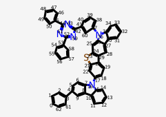 c1ccc(-c2ccc3c(c2)c2ccccc2n3-c2ccc3c(c2)sc2cc4c(cc23)c2ccccc2n4-c2cccc(-c3nc(-c4ccccc4)nc(-c4ccccc4)n3)c2)cc1